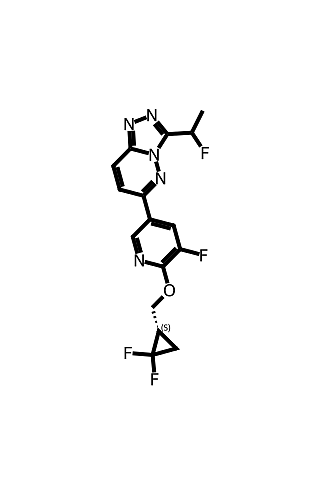 CC(F)c1nnc2ccc(-c3cnc(OC[C@@H]4CC4(F)F)c(F)c3)nn12